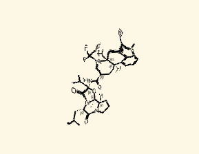 CC(C)C[C@H]1C(=O)N2CCC[C@H]2[C@]2(C)O[C@](NC(=O)[C@@H]3C[C@@H]4c5cccc6c5c(c(Br)n6C)C[C@H]4N(C(F)(F)F)C3)(C(C)C)C(=O)N12